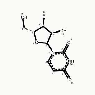 O=c1ccn(C2O[C@H](CO)[C@@H](F)[C@H]2O)c(=O)[nH]1